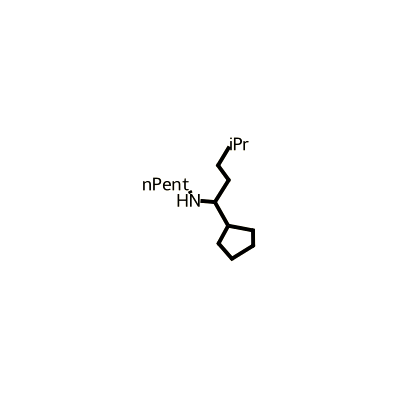 CCCCCNC(CCC(C)C)C1CCCC1